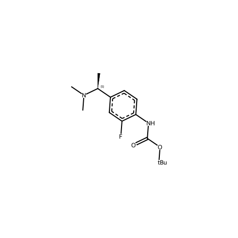 C[C@@H](c1ccc(NC(=O)OC(C)(C)C)c(F)c1)N(C)C